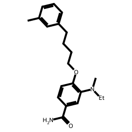 CCN(C)c1cc(C(N)=O)ccc1OCCCCc1cccc(C)c1